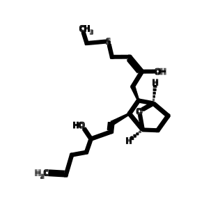 C=CCCC(O)/C=C/[C@H]1[C@@H](C/C(O)=C\CSCC)[C@H]2CC[C@@H]1O2